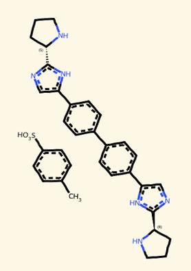 Cc1ccc(S(=O)(=O)O)cc1.c1cc(-c2cnc([C@@H]3CCCN3)[nH]2)ccc1-c1ccc(-c2cnc([C@H]3CCCN3)[nH]2)cc1